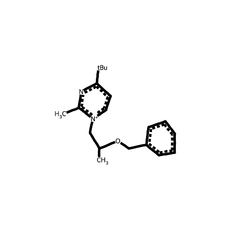 Cc1nc(C(C)(C)C)cc[n+]1CC(C)OCc1ccccc1